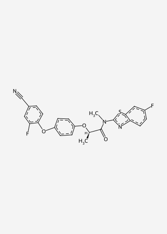 C[C@@H](Oc1ccc(Oc2ccc(C#N)cc2F)cc1)C(=O)N(C)c1nc2ccc(F)cc2s1